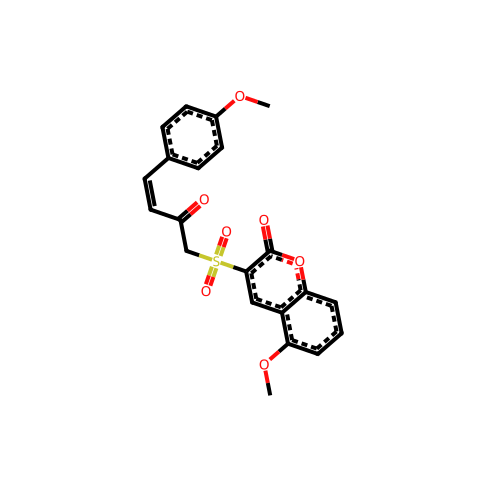 COc1ccc(/C=C\C(=O)CS(=O)(=O)c2cc3c(OC)cccc3oc2=O)cc1